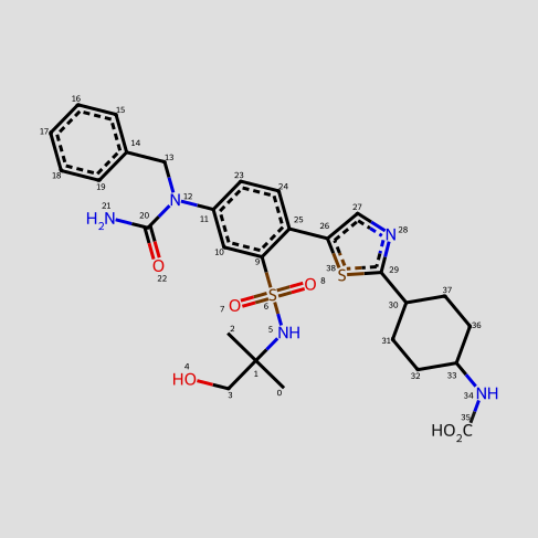 CC(C)(CO)NS(=O)(=O)c1cc(N(Cc2ccccc2)C(N)=O)ccc1-c1cnc(C2CCC(NC(=O)O)CC2)s1